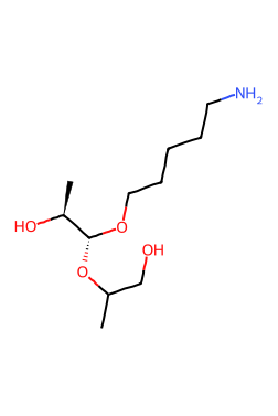 CC(CO)O[C@@H](OCCCCCN)[C@H](C)O